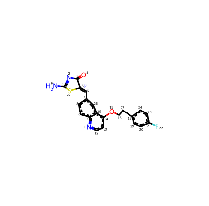 NC1=NC(=O)/C(=C/c2ccc3nccc(OCCc4ccc(F)cc4)c3c2)S1